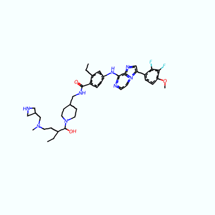 CCc1cc(Nc2nccn3c(-c4ccc(OC)c(F)c4F)cnc23)ccc1C(=O)NCC1CCN(C(O)C(CC)CCN(C)CC2CNC2)CC1